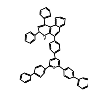 C1=C(c2ccccc2)c2c(c(-c3ccc(-c4cc(-c5ccc(-c6ccccc6)cc5)nc(-c5ccc(-c6ccccc6)cc5)c4)cc3)cc3ccccc23)NC1c1ccccc1